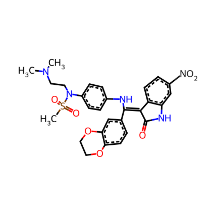 CN(C)CCN(c1ccc(NC(=C2C(=O)Nc3cc([N+](=O)[O-])ccc32)c2ccc3c(c2)OCCO3)cc1)S(C)(=O)=O